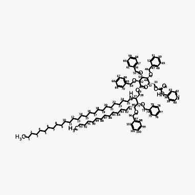 CCCCCCCCCCCCCCCCCCCCCCCCCCN[C@@H](CO[C@@H]1O[C@@H](COC(=O)Nc2ccncc2)[C@@H](OCc2ccccc2)[C@@H](OCc2ccccc2)[C@@H]1OCc1ccccc1)[C@H](OCc1ccccc1)[C@@H](CCCCCCCCCCCCCC)OCc1ccccc1